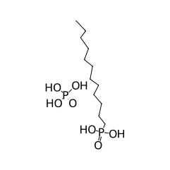 CCCCCCCCCCCCP(=O)(O)O.O=P(O)(O)O